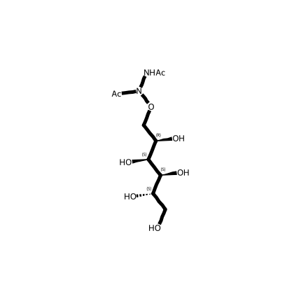 CC(=O)NN(OC[C@@H](O)[C@H](O)[C@@H](O)[C@@H](O)CO)C(C)=O